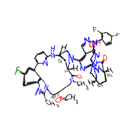 CO[C@H]1CN(C)C(=O)[C@@H]2C[C@@H](CN2c2nc(N3[C@@H]4C[C@H]3C(=O)N(CCO)C4)nc3c2cnn3-c2ccc(F)cc2F)Nc2cccc(n2)C2=C=C(F)C=C3N=C(C)N(C1)C23